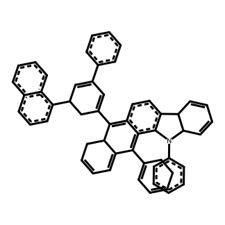 C1=CCCC(C2=c3c4c(ccc3=C(C3=CC(c5ccccc5)=CC(c5cccc6ccccc56)C3)C3CC=CC=C23)C2C=CC=CC2N4c2ccccc2)=C1